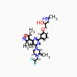 CNCC(O)COc1cccc(-c2nc(-c3c(C)noc3C)c(C)c(N3CCN(CC(F)F)[C@@H](C)C3)n2)c1